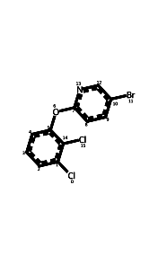 Clc1cccc(Oc2[c]cc(Br)cn2)c1Cl